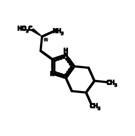 CC1Cc2nc(C[C@@H](N)C(=O)O)[nH]c2CC1C